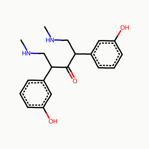 CNCC(C(=O)C(CNC)c1cccc(O)c1)c1cccc(O)c1